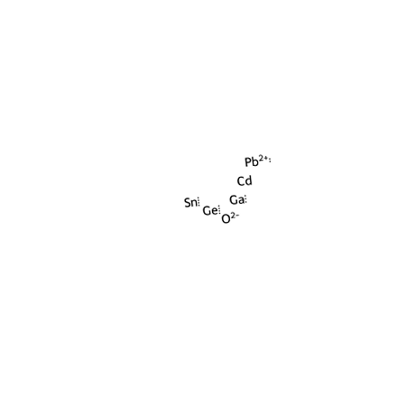 [Cd].[Ga].[Ge].[O-2].[Pb+2].[Sn]